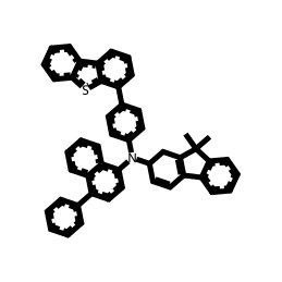 CC1(C)C2=C(C=CC(N(c3ccc(-c4cccc5c4sc4ccccc45)cc3)c3ccc(-c4ccccc4)c4ccccc34)C2)c2ccccc21